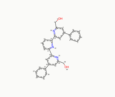 OCc1cc(-c2ccccc2)cc(-c2cccc(-c3cc(-c4ccccc4)cc(CO)n3)n2)n1